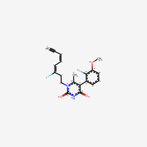 C#C/C=C\C=C(\F)CCn1c(C)c(-c2cccc(OC)c2F)c(=O)[nH]c1=O